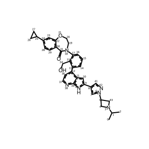 CC(C)N1CC(n2cc(-c3cc4c(-c5cccc(N6CCOc7cc(C8CC8)ccc7C6=O)c5CO)ccnc4[nH]3)cn2)C1